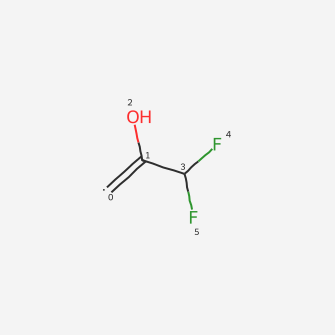 [CH]=C(O)C(F)F